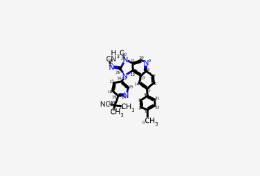 Cc1ccc(-c2ccc3ncc4c(c3c2)n(-c2ccc(C(C)(C)C#N)nc2)c(=NC#N)n4C)cc1